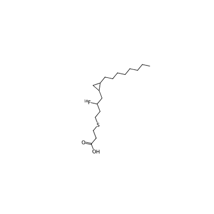 CCCCCCCCC1CC1CC([18F])CCSCCC(=O)O